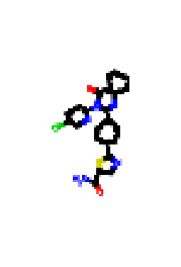 NC(=O)c1cnc(-c2ccc(-c3nc4ccccc4c(=O)n3-c3ccc(Cl)cn3)cc2)s1